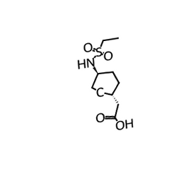 CCS(=O)(=O)N[C@H]1CC[C@H](CC(=O)O)CC1